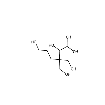 OCCCC(CO)(CO)C(O)C(O)O